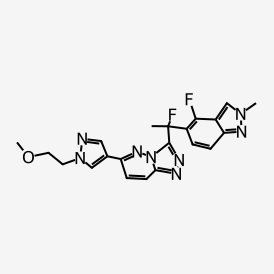 COCCn1cc(-c2ccc3nnc(C(C)(F)c4ccc5nn(C)cc5c4F)n3n2)cn1